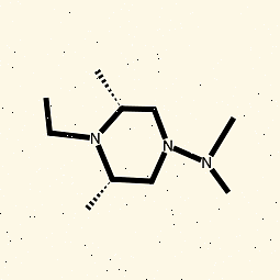 CCN1[C@H](C)CN(N(C)C)C[C@@H]1C